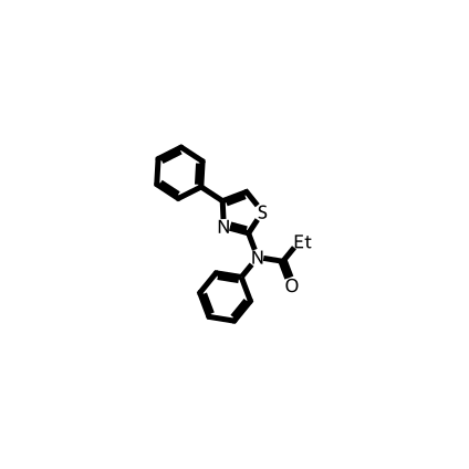 CCC(=O)N(c1ccccc1)c1nc(-c2ccccc2)cs1